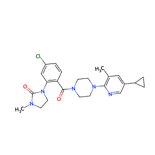 Cc1cc(C2CC2)cnc1N1CCN(C(=O)c2ccc(Cl)cc2N2CCN(C)C2=O)CC1